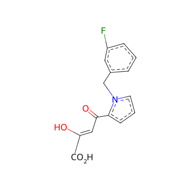 O=C(O)C(O)=CC(=O)c1cccn1Cc1cccc(F)c1